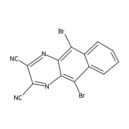 N#Cc1nc2c(Br)c3ccccc3c(Br)c2nc1C#N